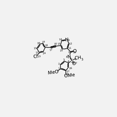 COc1ccc(S(C)(=O)=NC(=O)c2cncc(C#Cc3cccc(Cl)c3)c2)cc1OC